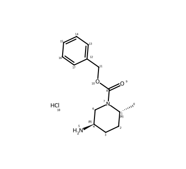 C[C@@H]1CC[C@@H](N)CN1C(=O)OCc1ccccc1.Cl